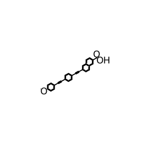 COc1ccc(C#Cc2ccc(C#Cc3ccc4cc(C(=O)O)ccc4c3)cc2)cc1